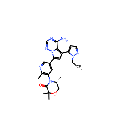 Cc1ncc(-c2cc(-c3ccnn3CC(F)(F)F)c3c(N)ncnn23)cc1N1C(=O)C(C)(C)OC[C@H]1C